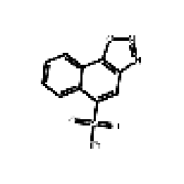 CC(C)S(=O)(=O)c1cc2nnoc2c2ccccc12